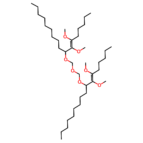 CCCCCCCCCC(OCOCOC(CCCCCCCCC)C(OC)=C(CCCCC)OC)C(OC)=C(CCCCC)OC